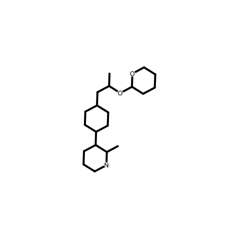 CC(CC1CCC(C2CCC[N]C2C)CC1)OC1CCCCO1